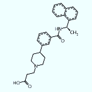 C[C@@H](NC(=O)c1cccc(C2CCN(CCC(=O)O)CC2)c1)c1cccc2ccccc12